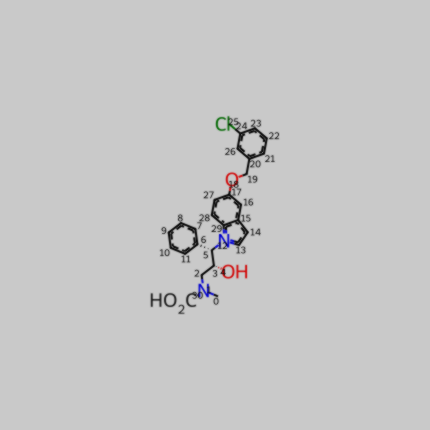 CN(C[C@@H](O)[C@H](c1ccccc1)n1ccc2cc(OCc3cccc(Cl)c3)ccc21)C(=O)O